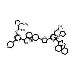 CC(Oc1cc(C2CCC(C3CC[C@@]4(CCCC(C(=N)c5nc(O[C@@H](C)[C@@H]6CCCN6C)cc(C6CCOCC6)n5)=C4O)C(=O)C3)O2)nc(-c2noc3c2CCC[C@@]32CCCCC2=O)n1)[C@@H]1CCCN1C